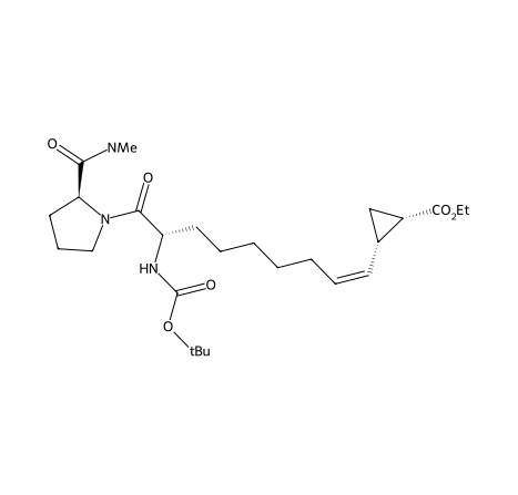 CCOC(=O)[C@H]1C[C@H]1/C=C\CCCCC[C@H](NC(=O)OC(C)(C)C)C(=O)N1CCC[C@H]1C(=O)NC